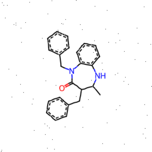 CC1Nc2ccccc2N(Cc2ccccc2)C(=O)C1Cc1ccccc1